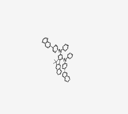 CC1(C)c2cc3ccccc3cc2-c2c(N(c3ccccc3)c3ccc(-c4ccc5ccccc5c4)cc3)cc(N(c3ccccc3)c3ccc(-c4ccc5ccccc5c4)cc3)cc21